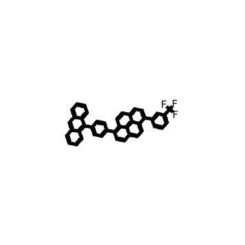 FC(F)(F)c1cccc(-c2ccc3ccc4c(-c5ccc(-c6c7ccccc7cc7ccccc67)cc5)ccc5ccc2c3c54)c1